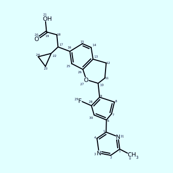 Cc1cncc(-c2ccc(C3CCc4ccc(C(CC(=O)O)C5CC5)cc4O3)c(F)c2)n1